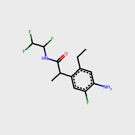 CCc1cc(N)c(F)cc1C(C)C(=O)NC(F)C(F)F